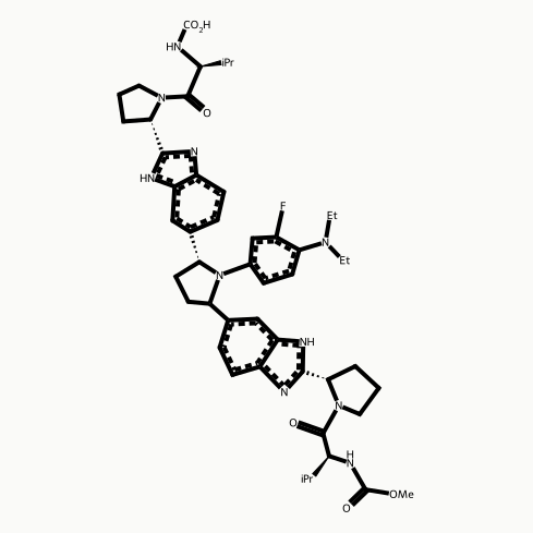 CCN(CC)c1ccc(N2C(c3ccc4nc([C@@H]5CCCN5C(=O)[C@@H](NC(=O)OC)C(C)C)[nH]c4c3)CC[C@@H]2c2ccc3nc([C@@H]4CCCN4C(=O)[C@@H](NC(=O)O)C(C)C)[nH]c3c2)cc1F